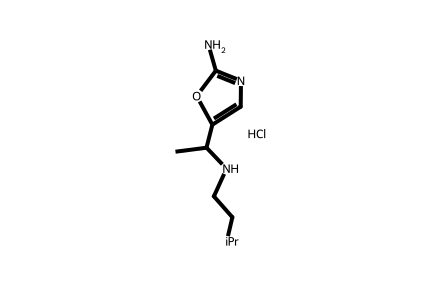 CC(C)CCNC(C)c1cnc(N)o1.Cl